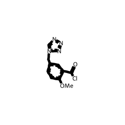 COc1ccc(Cn2cnnn2)cc1C(=O)Cl